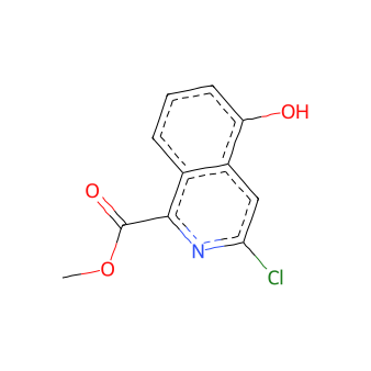 COC(=O)c1nc(Cl)cc2c(O)cccc12